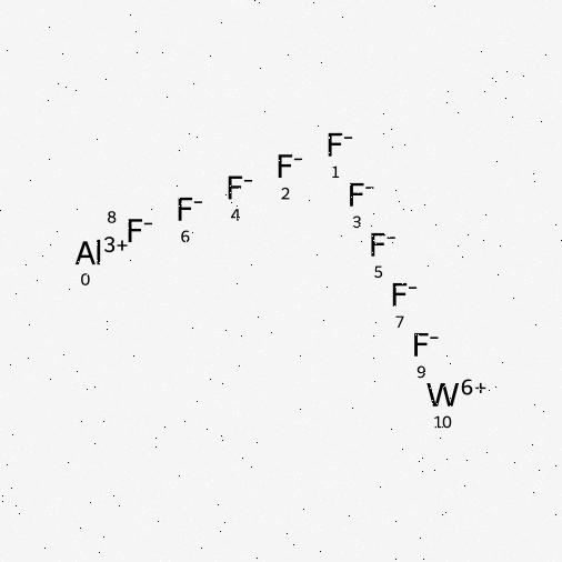 [Al+3].[F-].[F-].[F-].[F-].[F-].[F-].[F-].[F-].[F-].[W+6]